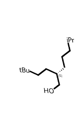 CC(C)CCC[C@H](CO)CCC(C)(C)C